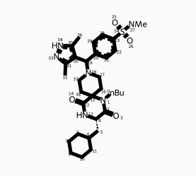 CCCCN1C(=O)[C@H](CC2CCCCC2)NC(=O)C12CCN(C(c1ccc(S(=O)(=O)NC)cc1)c1c(C)n[nH]c1C)CC2